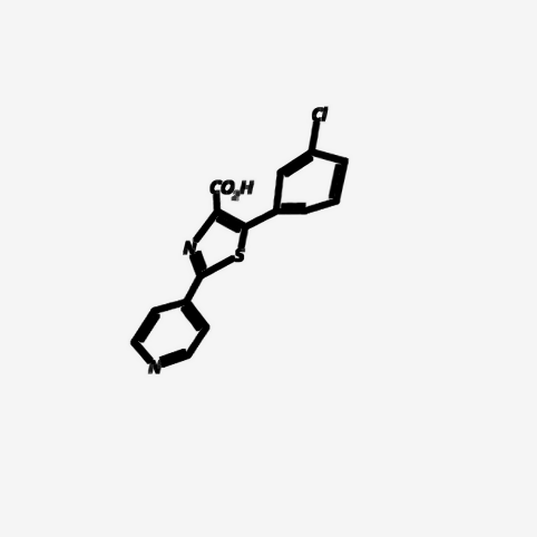 O=C(O)c1nc(-c2ccncc2)sc1-c1cccc(Cl)c1